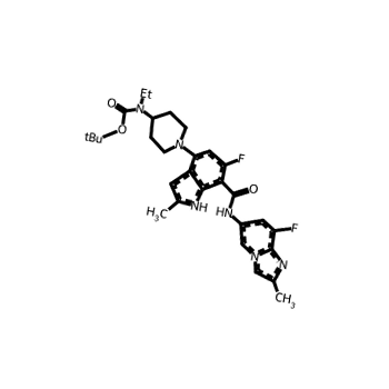 CCN(C(=O)OC(C)(C)C)C1CCN(c2cc(F)c(C(=O)Nc3cc(F)c4nc(C)cn4c3)c3[nH]c(C)cc23)CC1